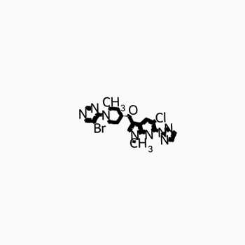 C[C@@H]1C[C@H](C(=O)c2cn(C)c3nc(-n4nccn4)c(Cl)cc23)CCN1c1ncncc1Br